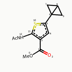 COC(=O)c1cc(C23CC2C3)sc1NC(C)=O